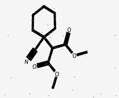 COC(=O)C(C(=O)OC)C1(C#N)CCCCC1